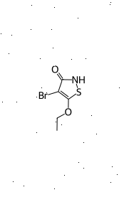 CCOc1s[nH]c(=O)c1Br